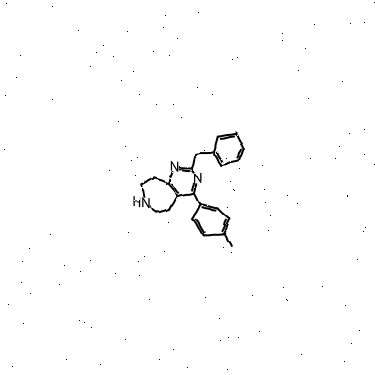 Cc1ccc(-c2nc(Cc3ccccc3)nc3c2CCNCC3)cc1